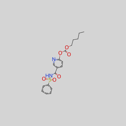 CCCCCOC(=O)Oc1ccc(C(=O)NS(=O)(=O)c2ccccc2)cn1